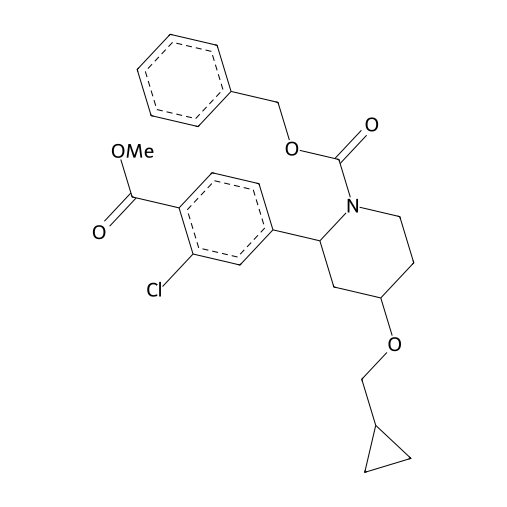 COC(=O)c1ccc(C2CC(OCC3CC3)CCN2C(=O)OCc2ccccc2)cc1Cl